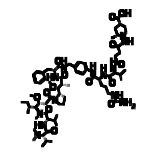 CC[C@H](C)[C@@H]([C@@H](CC(=O)N1CCC[C@H]1[C@H](OC)[C@@H](C)C(=O)N[C@@H](Cc1ccccc1)C(=O)NCc1ccc(NC(=O)[C@H](CCCNC(N)=O)NC(=O)[C@@H](NC(=O)CCC(=O)NN2CC[C@H](C(=O)O)C[C@@H]2C)C(C)C)cc1)OC)N(C)C(=O)[C@@H](NC(=O)[C@H](C(C)C)N(C)C)C(C)C